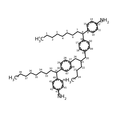 CCCCCCCCC(c1ccc(N)cc1)c1ccc(CC(CCCC)Cc2ccc(C(CCCCCCCC)c3ccc(N)cc3)cc2)cc1